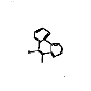 Brc1c(I)c2ccccc2c2ccccc12